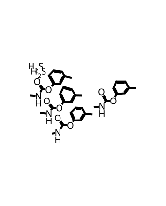 CNC(=O)Oc1cccc(C)c1.CNC(=O)Oc1cccc(C)c1.CNC(=O)Oc1cccc(C)c1.CNC(=O)Oc1cccc(C)c1.S.S